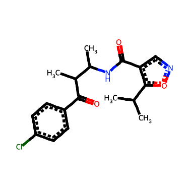 CC(C)c1oncc1C(=O)NC(C)C(C)C(=O)c1ccc(Cl)cc1